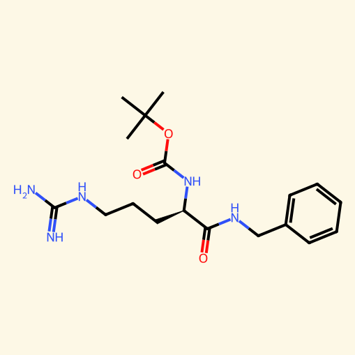 CC(C)(C)OC(=O)N[C@H](CCCNC(=N)N)C(=O)NCc1ccccc1